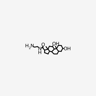 CC12CC(O)C3C(CCC4CC(O)CCC43C)C1CCC2C(=O)NCCN